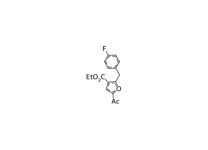 CCOC(=O)c1cc(C(C)=O)oc1Cc1ccc(F)cc1